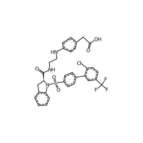 O=C(O)Cc1ccc(NCCNC(=O)[C@@H]2Cc3ccccc3N2S(=O)(=O)c2ccc(-c3cc(C(F)(F)F)ccc3Cl)cc2)cc1